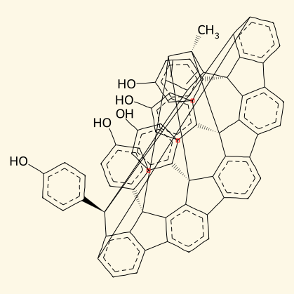 C[C@]12C3=C4C5=C1[C@@]1(c6ccc(O)cc6)c6c7ccc8c6[C@]5(c5ccc(O)cc5)c5c-8ccc6c5[C@]4(c4ccc(O)cc4)c4c-6ccc5c4[C@]3(c3ccc(O)cc3)c3c-5ccc4c3[C@]2(c2ccc(O)cc2)c2c-4ccc-7c21